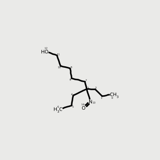 CCCC(CCC)(CCCCCO)N=O